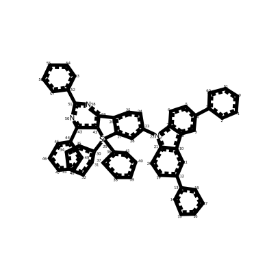 c1ccc(-c2ccc3c(c2)c2cc(-c4ccccc4)ccc2n3-c2ccc3c(c2)[Si](c2ccccc2)(c2ccccc2)c2c(-c4ccccc4)nc(-c4ccccc4)nc2-3)cc1